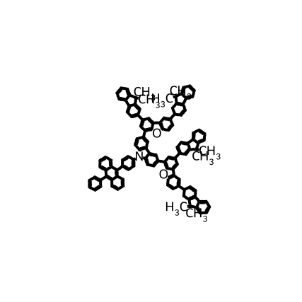 CC1(C)C2=C(C=CC(c3ccc4oc5c(-c6ccc7c(c6)c6cc(-c8cc(-c9ccc%10c(c9)C(C)(C)c9ccccc9-%10)cc9c8oc8ccc(C%10C=CC%11=C(C%10)C(C)(C)c%10ccccc%10%11)cc89)ccc6n7-c6ccc(-c7c8ccccc8c(-c8ccccc8)c8ccccc78)cc6)cc(-c6ccc7c(c6)C(C)(C)c6ccccc6-7)cc5c4c3)C2)c2ccccc21